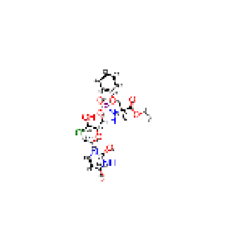 CCOC(=O)C(C)(C)NP(=O)(OC[C@@H](O[C@H](C)n1ccc(=O)[nH]c1=O)C(O)Cl)Oc1ccccc1